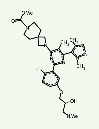 CNC[C@@H](O)COc1ccc(Cl)c(-c2nc(-c3c(C)cnn3C)c(C)c(N3CC4(CCN(C(=O)OC)CC4)C3)n2)c1